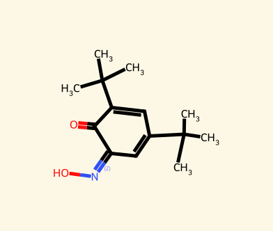 CC(C)(C)C1=C/C(=N/O)C(=O)C(C(C)(C)C)=C1